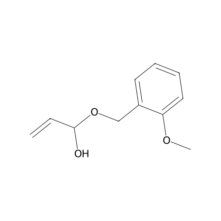 C=CC(O)OCc1ccccc1OC